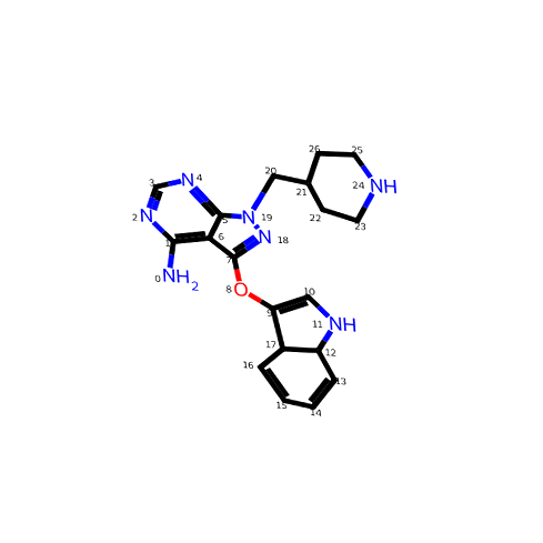 Nc1ncnc2c1c(OC1=CNC3C=CC=CC13)nn2CC1CCNCC1